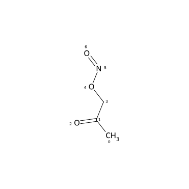 CC(=O)CON=O